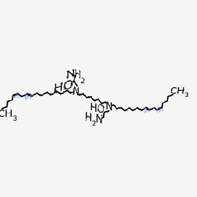 CCCCC/C=C\C/C=C/CCCCCCCCN(CCCCCCCCN(CCCCCCCC/C=C/C/C=C\CCCCC)CC(O)CN)CC(O)CN